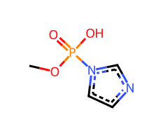 COP(=O)(O)n1ccnc1